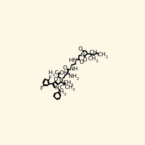 C=CCC(C)(C)C1CC(=O)N(CC(=O)NCCNC(=O)[C@@H](N)CCN(C(=O)[C@H](C)O)[C@@H](c2cc(-c3cc(F)ccc3F)cn2Cc2ccccc2)C(C)(C)C)C1=O